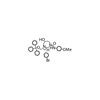 COc1ccc(NC(=O)N2CCC(O)CN3[C@H](COC(c4ccccc4)(c4ccccc4)c4ccccc4)[C@@H](c4ccc(Br)cc4)[C@@H]3C2)cc1